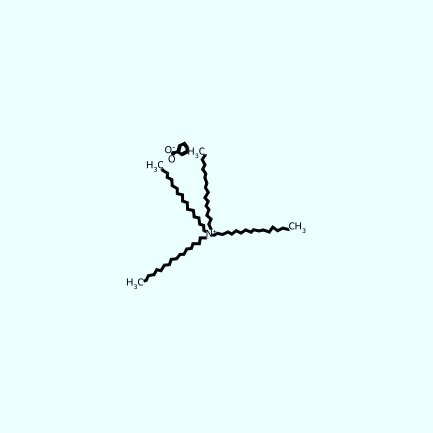 CCCCCCCCCCCCCCCCCC[N+](CCCCCCCCCCCCCCCCCC)(CCCCCCCCCCCCCCCCCC)CCCCCCCCCCCCCCCCCC.O=C([O-])c1ccccc1